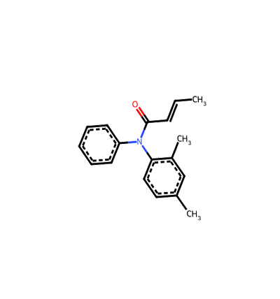 C/C=C/C(=O)N(c1ccccc1)c1ccc(C)cc1C